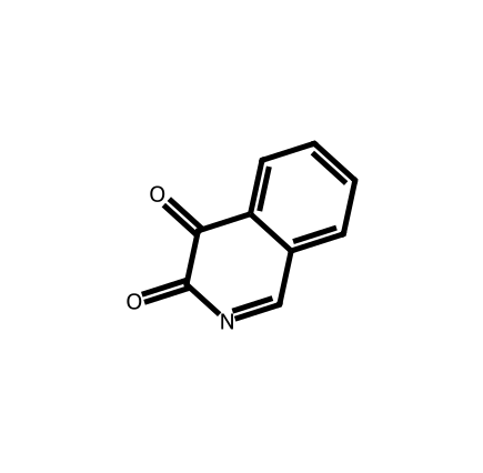 O=C1N=Cc2ccccc2C1=O